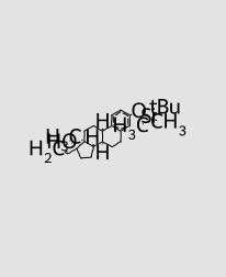 C=C[C@]1(O)CC[C@H]2[C@@H]3CCc4cc(O[Si](C)(C)C(C)(C)C)ccc4[C@H]3CC[C@@]21C